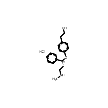 CNCC[C@@H](Oc1ccc(CCO)cc1)c1ccccc1.Cl